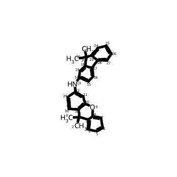 CC1(C)c2ccccc2Oc2cc(Nc3ccc4c(c3)C(C)(C)c3ccccc3-4)ccc21